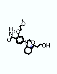 COCCOc1cc(N(C=O)C2CCCC/C2=C\CCO)ccc1C(N)=O